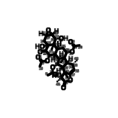 CC(=O)O[C@@H]1[C@H]2[C@@H]3[C@@H](OC(C)=O)C(=O)[C@@]4(O)C[C@@H]5O[C@@H]5[C@H](O)[C@]4(C)[C@H]3C[C@H](OC(C)=O)[C@]2(C)[C@@H]2[C@@H]1[C@]1(C)C(=C[C@H]2C)OC(=O)[C@@]1(C)O